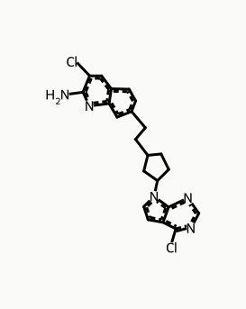 Nc1nc2cc(CCC3CCC(n4ccc5c(Cl)ncnc54)C3)ccc2cc1Cl